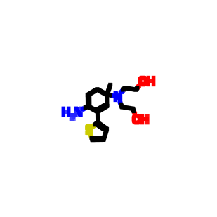 CC1(N(CCO)CCO)C=C(c2cccs2)C(N)=CC1